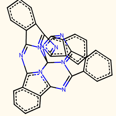 c1ccc2c(c1)C1=Nc3c4ccccc4c4n3C35n6c(c7ccccc7c6=NC6=[N+]3C(=N4)c3ccccc36)=NC2=[N+]15